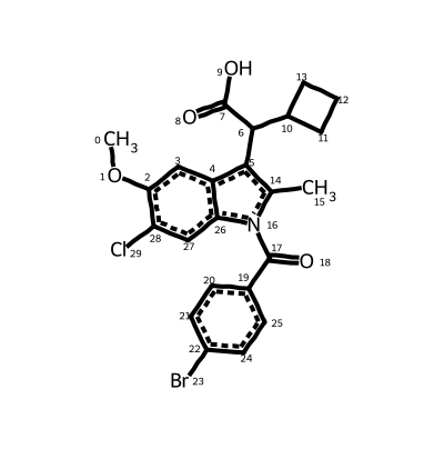 COc1cc2c(C(C(=O)O)C3CCC3)c(C)n(C(=O)c3ccc(Br)cc3)c2cc1Cl